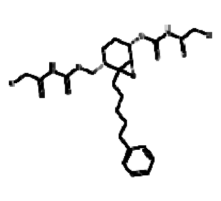 O=C(CCl)NC(=O)OC[C@@H]1CC[C@H](OC(=O)NC(=O)CCl)C2OC21CCCCCc1ccccc1